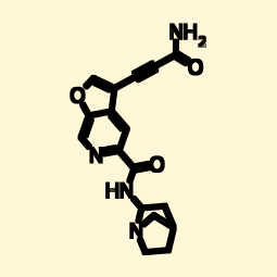 NC(=O)C#Cc1coc2cnc(C(=O)NC3CC4CCN3C4)cc12